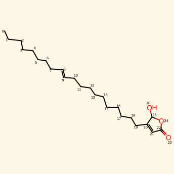 CCCCCCCCC=CCCCCCCCCCCC1=CC(=O)OC1O